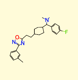 Cc1cccc(-c2noc(CCC3CCC(C(c4ccc(F)cc4)N(C)C)CC3)n2)c1